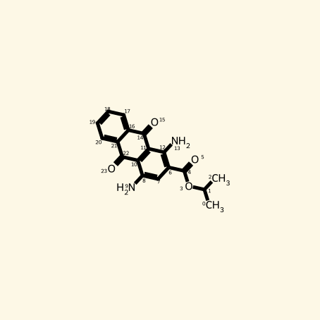 CC(C)OC(=O)c1cc(N)c2c(c1N)C(=O)c1ccccc1C2=O